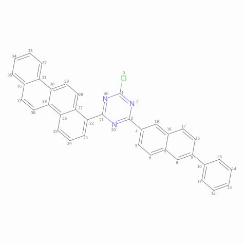 Clc1nc(-c2ccc3cc(-c4ccccc4)ccc3c2)nc(-c2cccc3c2ccc2c4ccccc4ccc32)n1